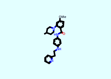 COc1ccc(C(=O)Nc2ccc(NCCc3ccccn3)cc2)c(N2CCC(C)CC2)c1